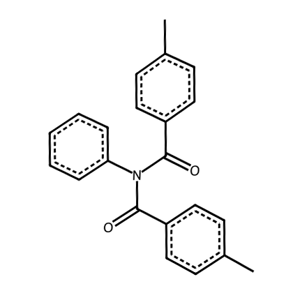 Cc1ccc(C(=O)N(C(=O)c2ccc(C)cc2)c2ccccc2)cc1